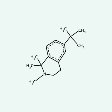 CN1CCc2cc(C(C)(C)C)ccc2C1(C)C